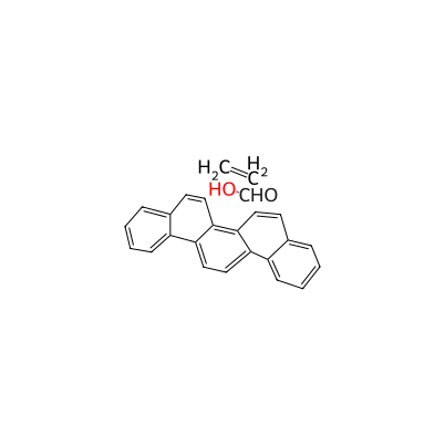 C=C.O=CO.c1ccc2c(c1)ccc1c2ccc2c3ccccc3ccc21